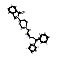 O=C1c2ccccc2CN1C1CCN(C/C=C\CC(c2ccccc2)c2ccccc2)CC1